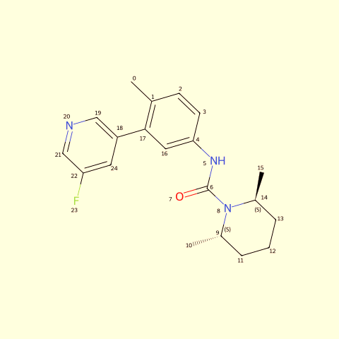 Cc1ccc(NC(=O)N2[C@@H](C)CCC[C@@H]2C)cc1-c1cncc(F)c1